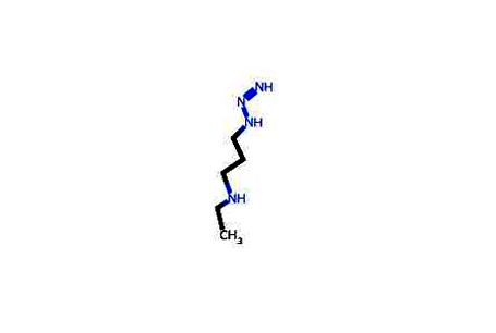 CCNCCCNN=N